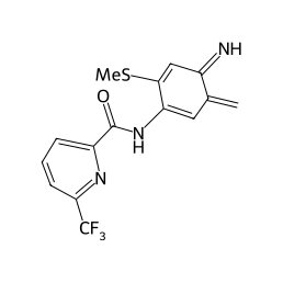 C=C1C=C(NC(=O)c2cccc(C(F)(F)F)n2)C(SC)=CC1=N